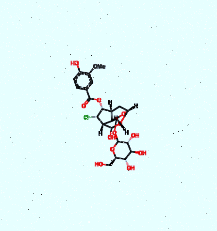 COc1cc(C(=O)O[C@H]2[C@@H](Cl)[C@H]3C(O)O[C@H]4C[C@@H]2[C@@H]3[C@@H](O[C@@H]2O[C@H](CO)[C@@H](O)[C@H](O)[C@H]2O)O4)ccc1O